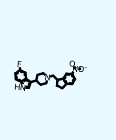 O=[N+]([O-])c1ccc2c(c1)C(CN1CCC(c3c[nH]c4ccc(F)cc34)CC1)CC2